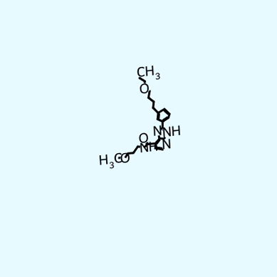 CCCOCCCCc1cccc(-c2nc3c(C(=O)NCCCOC)ccnc3[nH]2)c1